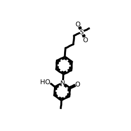 Cc1cc(O)n(-c2ccc(CCCS(C)(=O)=O)cc2)c(=O)c1